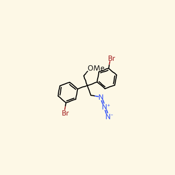 COCC(CN=[N+]=[N-])(c1cccc(Br)c1)c1cccc(Br)c1